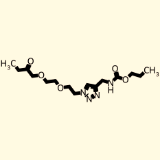 CCCOC(=O)NCc1cn(CCOCCOCC(=O)CC)nn1